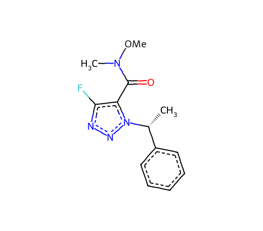 CON(C)C(=O)c1c(F)nnn1[C@H](C)c1ccccc1